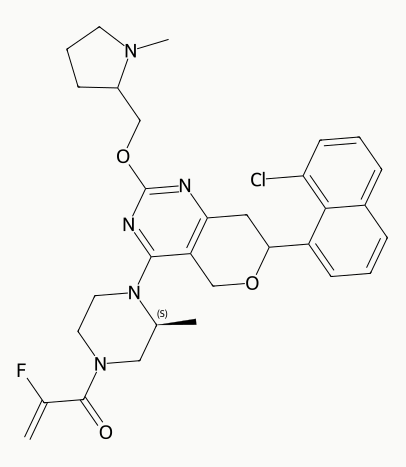 C=C(F)C(=O)N1CCN(c2nc(OCC3CCCN3C)nc3c2COC(c2cccc4cccc(Cl)c24)C3)[C@@H](C)C1